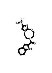 O=C(c1cc2ccccc2[nH]1)N1CCOc2nc([N+](=O)[O-])cn2CC1